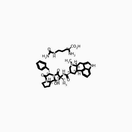 CN1C[C@H](C(=O)N[C@]2(C)O[C@@]3(O)[C@@H]4CCCN4C(=O)[C@H](Cc4ccccc4)N3C2=O)C[C@@H]2c3cccc4[nH]cc(c34)C[C@H]21.NC(=O)NCCC[C@H](N)C(=O)O